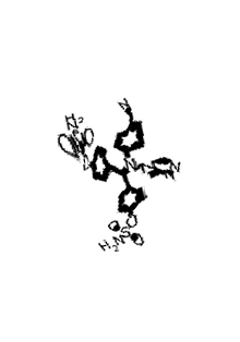 N#Cc1ccc(N(C(c2ccc(OS(N)(=O)=O)cc2)c2ccc(OS(N)(=O)=O)cc2)n2cnnc2)cc1